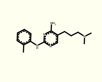 Cc1ccccc1Nc1ncc(CCCN(C)C)c(N)n1